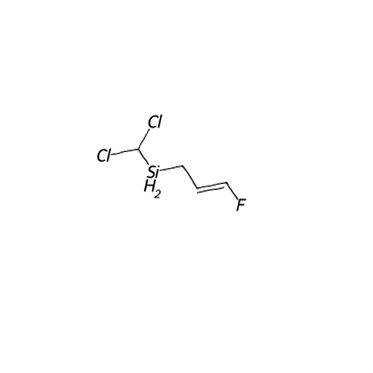 FC=CC[SiH2]C(Cl)Cl